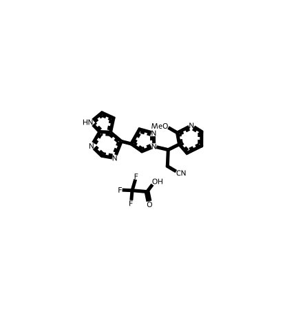 COc1ncccc1C(CC#N)n1cc(-c2ncnc3[nH]ccc23)cn1.O=C(O)C(F)(F)F